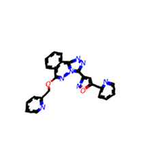 c1ccc(COc2nn3c(-c4cc(-c5ccccn5)on4)nnc3c3ccccc23)nc1